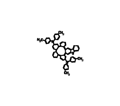 Cc1ccc(N(c2ccc(C)cc2)c2ccc3c4ccccc4c4ccc(N(c5ccc(C)cc5)c5ccc(C)cc5)cc4c4cc5sc6ccccc6c5cc4c4ccccc4c3c2)cc1